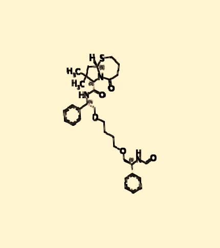 CC1(C)C[C@@H]2SCCCC(=O)N2[C@@H]1C(=O)N[C@H](COCCCCOC[C@@H](NC=O)c1ccccc1)c1ccccc1